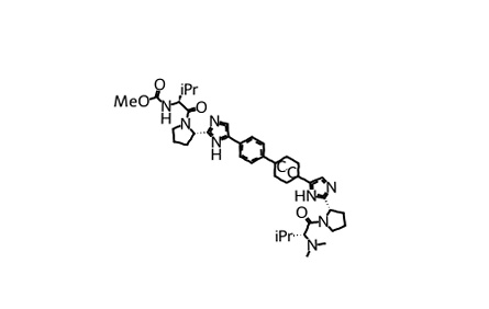 COC(=O)N[C@H](C(=O)N1CCC[C@H]1c1ncc(-c2ccc(C34CCC(c5cnc([C@@H]6CCCN6C(=O)[C@@H](C(C)C)N(C)C)[nH]5)(CC3)CC4)cc2)[nH]1)C(C)C